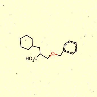 O=C(O)C(COCc1ccccc1)CC1CCCCC1